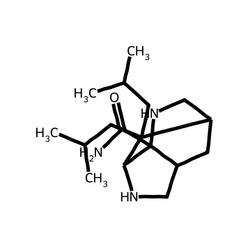 CC(C)CC1(CC(C)C)C2CNC3(C(N)=O)C(CNC13)C2